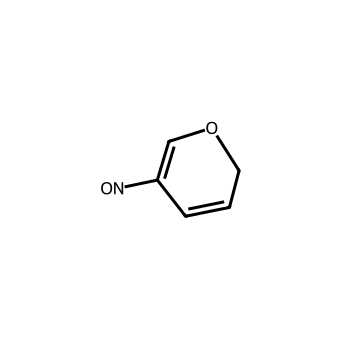 O=NC1=COCC=C1